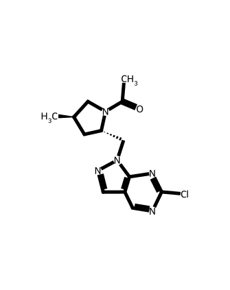 CC(=O)N1C[C@H](C)C[C@H]1Cn1ncc2cnc(Cl)nc21